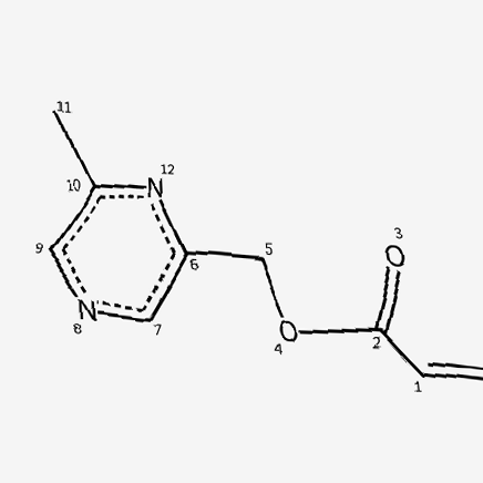 C=CC(=O)OCc1cncc(C)n1